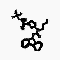 CCCCN(C(=O)OC1c2ccccc2-c2ccccc21)c1cn(C(=O)NCC(F)(F)F)cn1